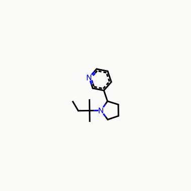 CCC(C)(C)N1CCCC1c1cccnc1